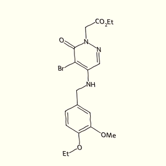 CCOC(=O)Cn1ncc(NCc2ccc(OCC)c(OC)c2)c(Br)c1=O